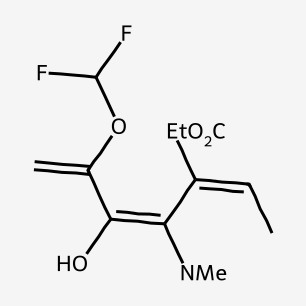 C=C(OC(F)F)/C(O)=C(NC)\C(=C/C)C(=O)OCC